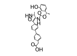 CC1NOC(c2ccc(-c3ccc(CC(=O)O)cc3)cc2)=C1NC(=O)O[C@H](C)c1cccc(O)c1